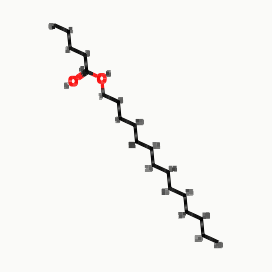 [CH2]CCCC(=O)OCCCCCCCCCCCCCC